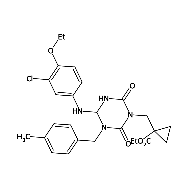 CCOC(=O)C1(CN2C(=O)NC(Nc3ccc(OCC)c(Cl)c3)N(Cc3ccc(C)cc3)C2=O)CC1